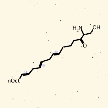 CCCCCCCC/C=C/C/C=C/C/C=C/CCCC(=O)C(N)CO